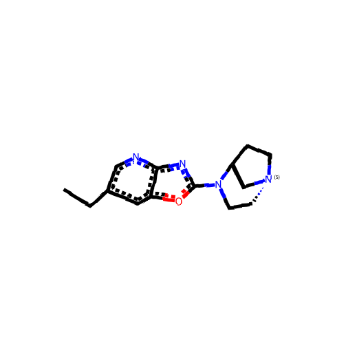 CCc1cnc2nc(N3CC[N@@]4CCC3C4)oc2c1